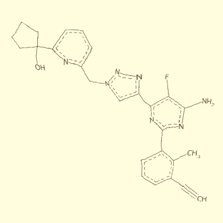 C#Cc1cccc(-c2nc(N)c(F)c(-c3cn(Cc4cccc(C5(O)CCCC5)n4)nn3)n2)c1C